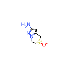 Nc1cc2n(n1)CC[S+]([O-])C2